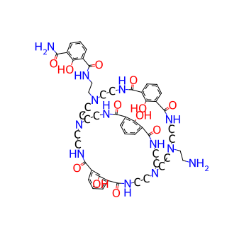 NCCN1CCNC(=O)c2cccc(c2O)C(=O)NCCN(CCNC(=O)c2cccc(C(N)=O)c2O)CCN2CCNC(=O)c3cccc(c3O)C(=O)NCCN(CCNC(=O)c3cccc(c3O)C(=O)NCC2)CC1